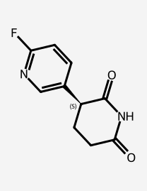 O=C1CC[C@@H](c2ccc(F)nc2)C(=O)N1